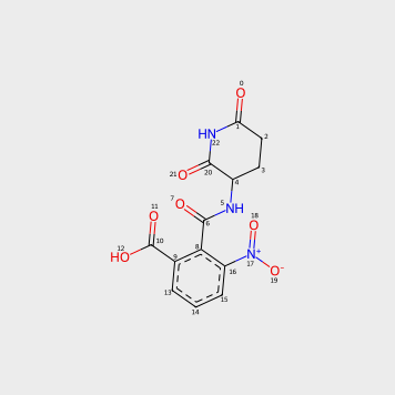 O=C1CCC(NC(=O)c2c(C(=O)O)cccc2[N+](=O)[O-])C(=O)N1